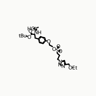 CCOCc1cn(CCCS(=O)(=O)OCCOc2ccc(CC(NB(C)O)C(=O)OC(C)(C)C)cc2)nn1